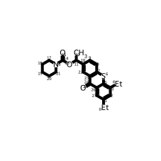 CCc1cc(CC)c2sc3ccc(C(C)OC(=O)N4CCCCC4)cc3c(=O)c2c1